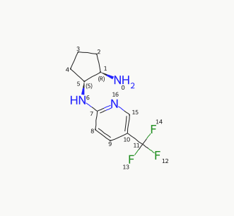 N[C@@H]1CCC[C@@H]1Nc1ccc(C(F)(F)F)cn1